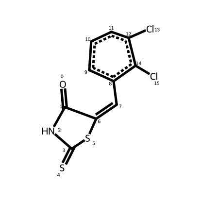 O=C1NC(=S)SC1=Cc1cccc(Cl)c1Cl